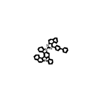 c1ccc(-c2ccc(-c3nc(-n4c5ccccc5c5c6c7c8ccccc8ccc7n7c8ccccc8c(cc54)c67)nc4ccc5ccccc5c34)cc2)cc1